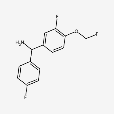 NC(c1ccc(F)cc1)c1ccc(OCF)c(F)c1